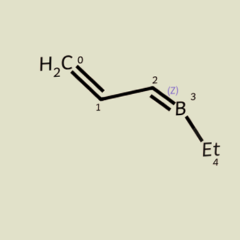 C=C/C=B\CC